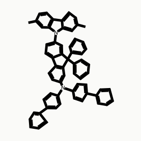 Cc1ccc2c3ccc(C)cc3n(-c3ccc4c(c3)C(c3ccccc3)(c3ccccc3)c3cc(N(c5ccc(-c6ccccc6)cc5)c5ccc(-c6ccccc6)cc5)ccc3-4)c2c1